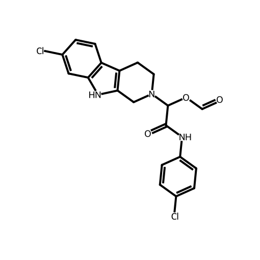 O=COC(C(=O)Nc1ccc(Cl)cc1)N1CCc2c([nH]c3cc(Cl)ccc23)C1